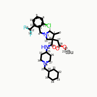 CC1CN(Cc2c(Cl)cccc2C(F)F)CC1(CC(=O)OC(C)(C)C)C(=O)NC1CCN(CC2CCCCC2)CC1